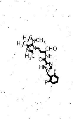 Cc1nc(C)n(CCC(C=O)NC(=O)C2N=CN(Cc3c(F)cccc3F)N2)c1N(C)C